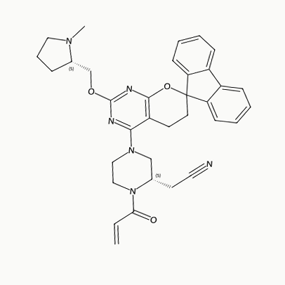 C=CC(=O)N1CCN(c2nc(OC[C@@H]3CCCN3C)nc3c2CCC2(O3)c3ccccc3-c3ccccc32)C[C@@H]1CC#N